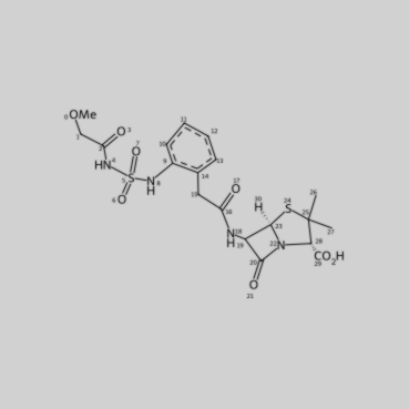 COCC(=O)NS(=O)(=O)Nc1ccccc1CC(=O)NC1C(=O)N2[C@@H]1SC(C)(C)[C@@H]2C(=O)O